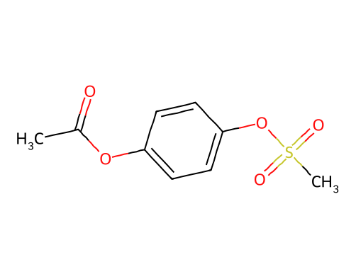 CC(=O)Oc1ccc(OS(C)(=O)=O)cc1